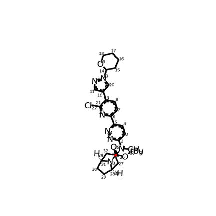 CN(c1ccc(-c2ccc(-c3cnn(C4CCCCO4)c3)c(Cl)n2)nn1)C1C[C@H]2CC[C@@H](C1)N2C(=O)OC(C)(C)C